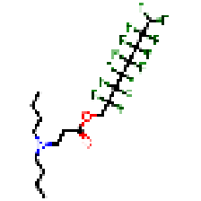 CCCCN(CCCC)CCC(=O)OCC(F)(F)C(F)(F)C(F)(F)C(F)(F)C(F)(F)C(F)(F)C(F)F